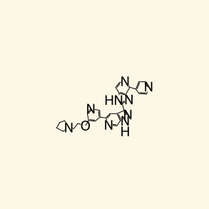 c1cc(-c2nccc3[nH]c(-c4n[nH]c5cnc(-c6cncc(OCCN7CCCC7)c6)cc45)nc23)ccn1